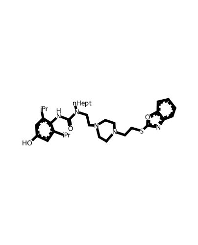 CCCCCCCN(CCN1CCN(CCSc2nc3ccccc3o2)CC1)C(=O)Nc1c(C(C)C)cc(O)cc1C(C)C